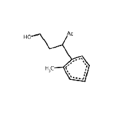 CC(=O)C(CCO)c1ccccc1C